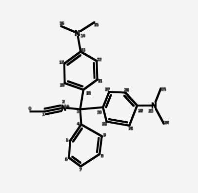 CC#[N+]C(c1ccccc1)(c1ccc(N(C)C)cc1)c1ccc(N(C)C)cc1